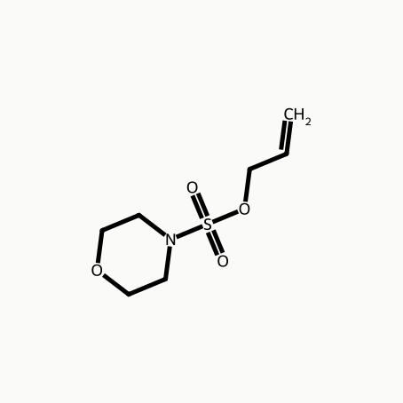 C=CCOS(=O)(=O)N1CCOCC1